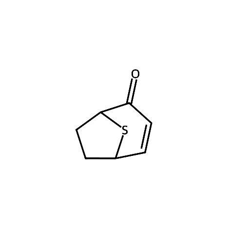 O=C1C=CC2CCC1S2